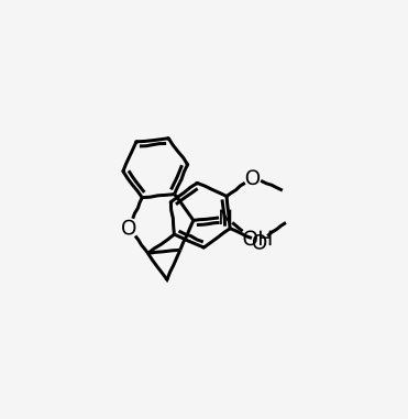 COc1ccc(C23CC2C(=NO)c2ccccc2O3)cc1OC